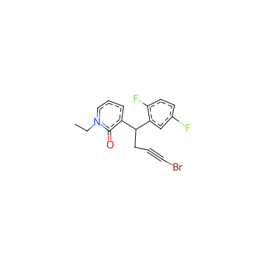 CCn1cccc(C(CC#CBr)c2cc(F)ccc2F)c1=O